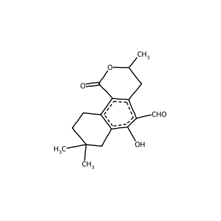 CC1Cc2c(C=O)c(O)c3c(c2C(=O)O1)CCC(C)(C)C3